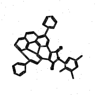 Cc1cc(C)c(C)c(-n2c(=O)c3c4cc(-c5ccccc5)c5ccc6ccc7c(-c8ccccc8)cc(c3c2=O)c2c7c6c5c42)c1